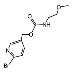 COCCNC(=O)OCc1ccc(Br)nc1